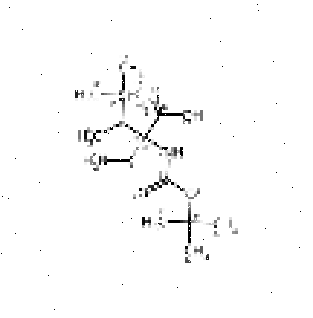 CC([C@](CN)(NC(=O)OC(C)(C)C)C(=O)O)[Si](C)(C)C